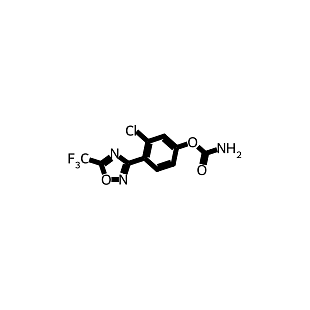 NC(=O)Oc1ccc(-c2noc(C(F)(F)F)n2)c(Cl)c1